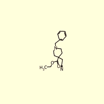 CCOC(=O)C1(CC#N)CCN(Cc2ccccc2)CC1